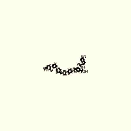 CC(C)(O)c1cc2nn(C3CCC(N4CCN(CC5CCN(c6cccc([C@H]7CCC(=O)NC7=O)c6)CC5)CC4)CC3)cc2cc1NC(=O)c1ccc2cc(C#N)cnn12